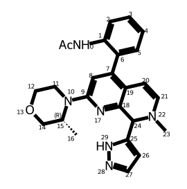 CC(=O)Nc1ccccc1-c1cc(N2CCOC[C@H]2C)nc2c1C=CN(C)C2c1ccn[nH]1